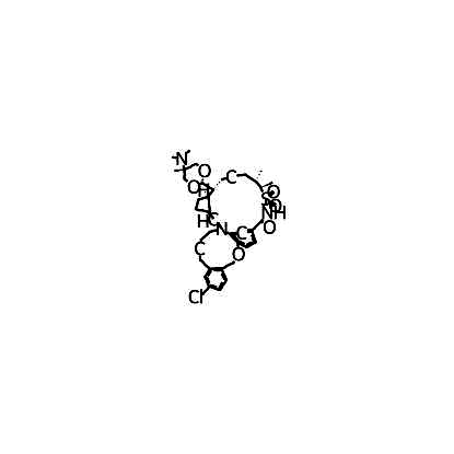 C[C@@H]1[C@@H](C)CCC[C@@H]([C@H]2OC[C@@](C)(N(C)C)CO2)[C@@H]2CC[C@H]2CN2CCCCc3cc(Cl)ccc3COc3ccc(cc32)C(=O)NS1(=O)=O